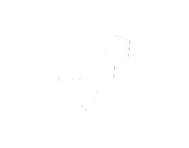 N#CC(=Cc1ccco1)C(=O)O